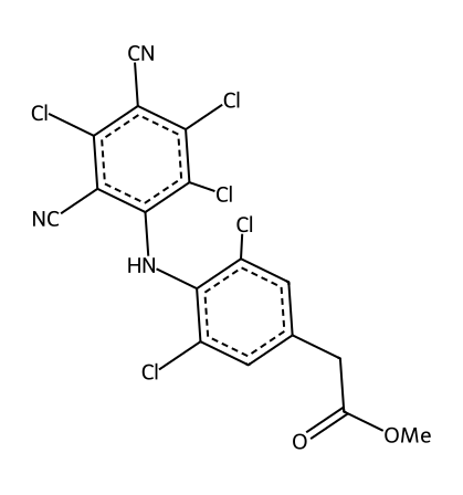 COC(=O)Cc1cc(Cl)c(Nc2c(Cl)c(Cl)c(C#N)c(Cl)c2C#N)c(Cl)c1